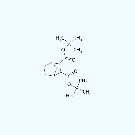 CC(C)(C)OC(=O)C1C2CCC(C2)C1C(=O)OC(C)(C)C